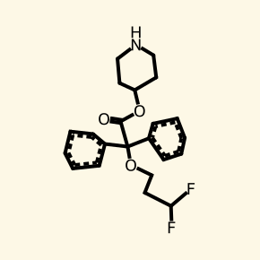 O=C(OC1CCNCC1)C(OCCC(F)F)(c1ccccc1)c1ccccc1